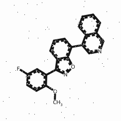 COc1ccc(F)cc1-c1noc2c(-c3cncc4ccccc34)cccc12